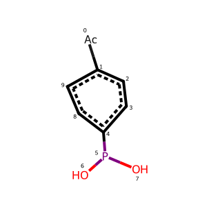 CC(=O)c1ccc(P(O)O)cc1